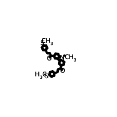 CCn1c2ccc(C(=O)/C=C/c3ccc(SC)cc3)cc2c2cc(C(=O)/C=C/c3ccc(SC)cc3)ccc21